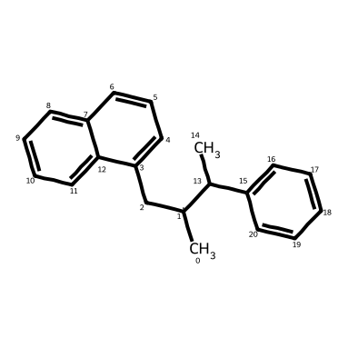 C[C](Cc1cccc2ccccc12)C(C)c1ccccc1